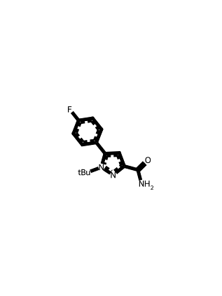 CC(C)(C)n1nc(C(N)=O)cc1-c1ccc(F)cc1